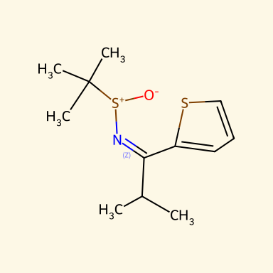 CC(C)/C(=N/[S+]([O-])C(C)(C)C)c1cccs1